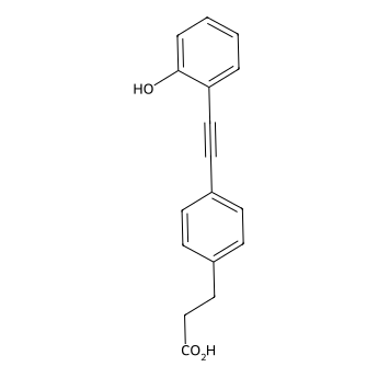 O=C(O)CCc1ccc(C#Cc2ccccc2O)cc1